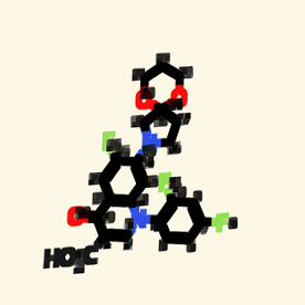 O=C(O)c1cn(-c2ccc(F)cc2F)c2cc(N3CCC4(C3)OCCCO4)c(F)cc2c1=O